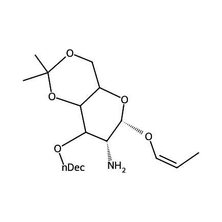 C/C=C\O[C@H]1OC2COC(C)(C)OC2C(OCCCCCCCCCC)[C@H]1N